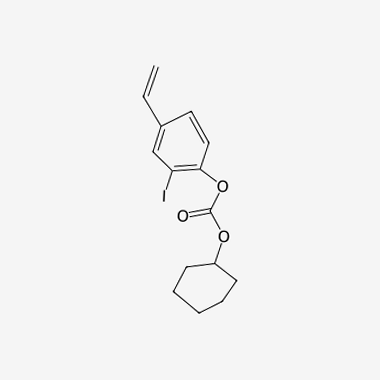 C=Cc1ccc(OC(=O)OC2CCCCC2)c(I)c1